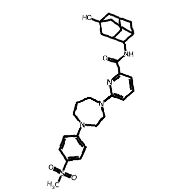 CS(=O)(=O)c1ccc(N2CCCN(c3cccc(C(=O)NC4C5CC6CC4CC(O)(C6)C5)n3)CC2)cc1